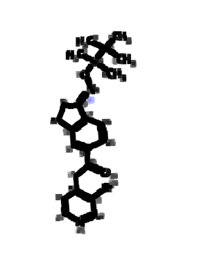 CC(C)(C)[Si](C)(C)O/N=C1\CCc2cc(C(=O)Cc3ccncc3Br)ccc21